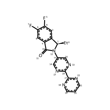 CC[C@@H]1c2cc(F)c(F)cc2C(=O)N1c1cnc(-c2ncccn2)nc1